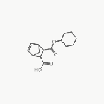 O=C(O)C1C2C=CC(C2)C1C(=O)OC1CCCCC1